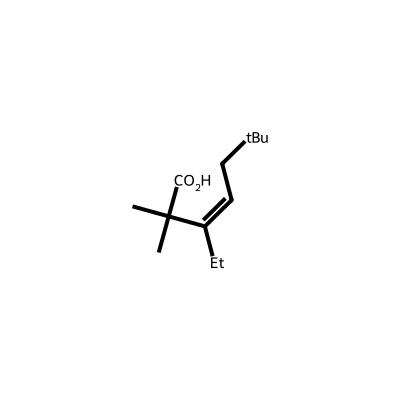 CCC(=CCC(C)(C)C)C(C)(C)C(=O)O